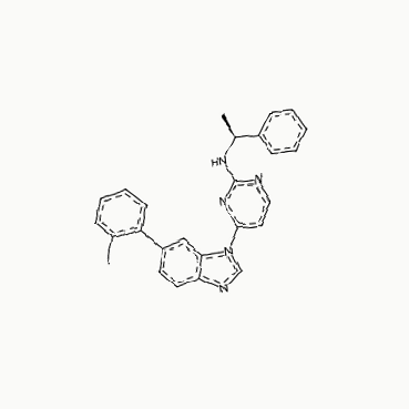 Cc1ccccc1-c1ccc2ncn(-c3ccnc(N[C@@H](C)c4ccccc4)n3)c2c1